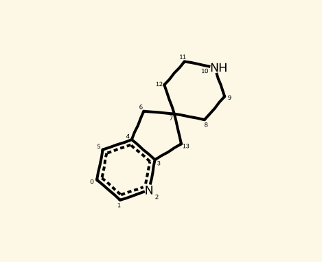 c1cnc2c(c1)CC1(CCNCC1)C2